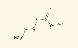 [2H]OC(=O)COCC(=O)O